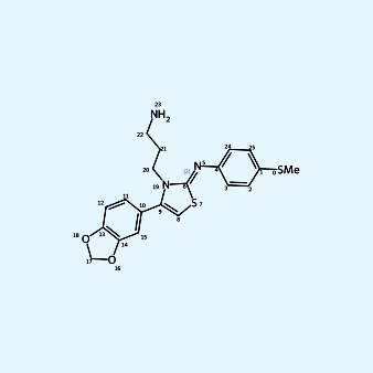 CSc1ccc(/N=c2\scc(-c3ccc4c(c3)OCO4)n2CCCN)cc1